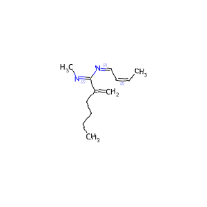 C=C(CCCC)C(/N=C\C=C/C)=N/C